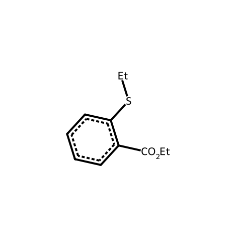 CCOC(=O)c1ccccc1SCC